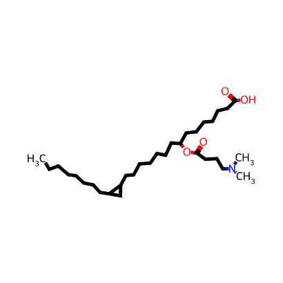 CCCCCCCCC1CC1CCCCCCCC(CCCCCCC(=O)O)OC(=O)CCCN(C)C